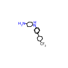 NC1CCC(Nc2ccc(C3CCC(C(F)(F)F)CC3)cc2)CC1